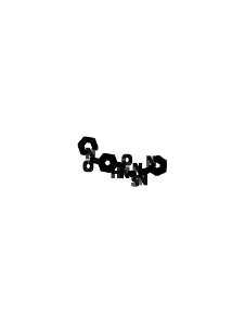 O=C(Nc1nc(-c2ccccn2)ns1)c1ccc(C(=O)N2CCCCC2)cc1